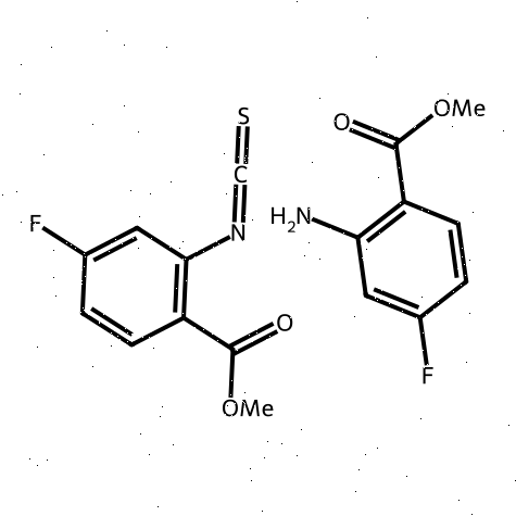 COC(=O)c1ccc(F)cc1N.COC(=O)c1ccc(F)cc1N=C=S